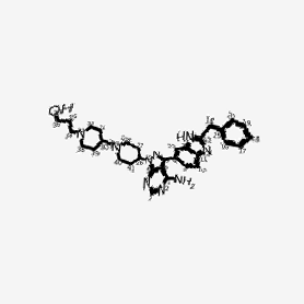 Nc1ncnc2c1c(-c1ccc3nc(Cc4ccccc4)[nH]c3c1)nn2C1CCN(C2CCN(CCCO)CC2)CC1